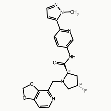 Cn1nccc1-c1ccc(NC(=O)[C@H]2C[C@H](F)CN2Cc2nccc3c2OCO3)cn1